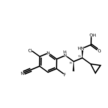 C[C@@H](Nc1nc(Cl)c(C#N)cc1F)[C@@H](NC(=O)O)C1CC1